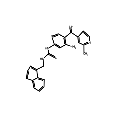 Cc1cc(C(=N)c2cnc(NC(=O)NCc3cccc4ccccc34)cc2N)ccn1